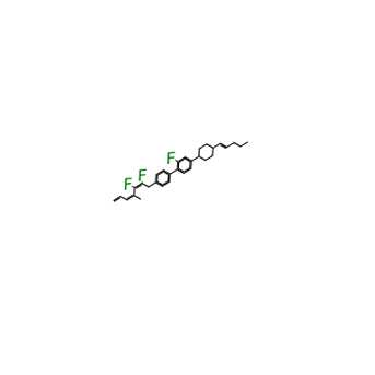 C=C/C=C(C)\C(F)=C(\F)Cc1ccc(-c2ccc(C3CCC(/C=C/CCC)CC3)cc2F)cc1